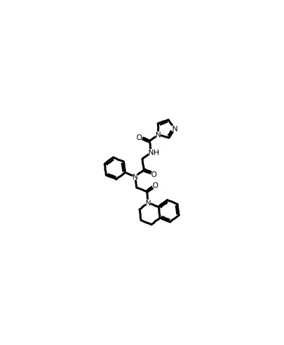 O=C(CNC(=O)n1ccnc1)N(CC(=O)N1CCCc2ccccc21)c1ccccc1